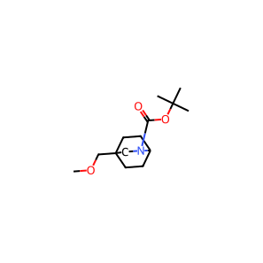 COCC12CCC(CC1)N(C(=O)OC(C)(C)C)C2